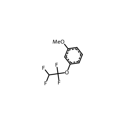 [CH2-][OH+]c1cccc(OC(F)(F)C(F)F)c1